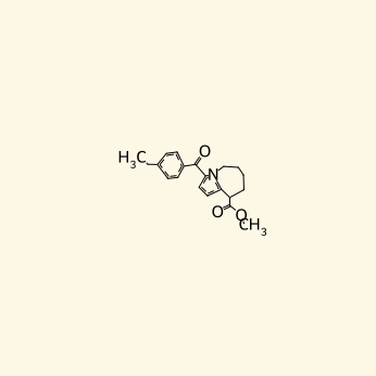 CCc1ccc(C(=O)c2ccc3n2CCCCC3C(=O)OC)cc1